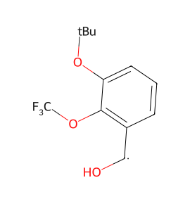 CC(C)(C)Oc1cccc([CH]O)c1OC(F)(F)F